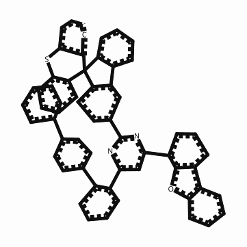 c1ccc(-c2ccc(-c3ccccc3-c3cc(-c4cccc5c4oc4ccccc45)nc(-c4ccc5c(c4)-c4ccccc4C54c5ccccc5Sc5ccccc54)n3)cc2)cc1